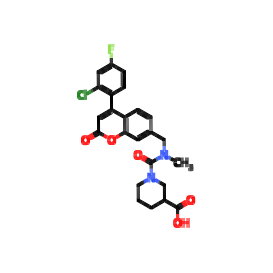 CN(Cc1ccc2c(-c3ccc(F)cc3Cl)cc(=O)oc2c1)C(=O)N1CCCC(C(=O)O)C1